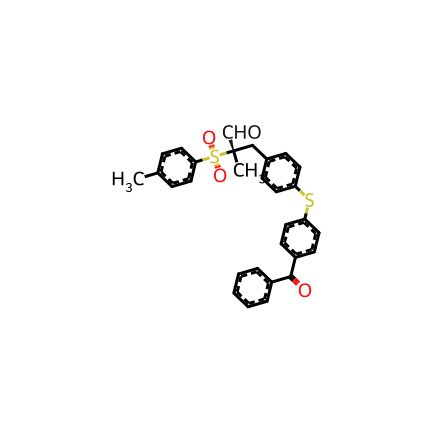 Cc1ccc(S(=O)(=O)[C@](C)(C=O)Cc2ccc(Sc3ccc(C(=O)c4ccccc4)cc3)cc2)cc1